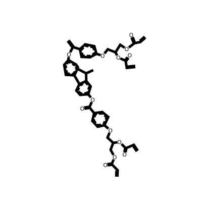 C=CC(=O)OCC(COc1ccc(C(=C)Oc2ccc3c(c2)C(C)c2cc(OC(=O)c4ccc(OCC(COC(=O)C=C)OC(=O)C=C)cc4)ccc2-3)cc1)OC(=O)C=C